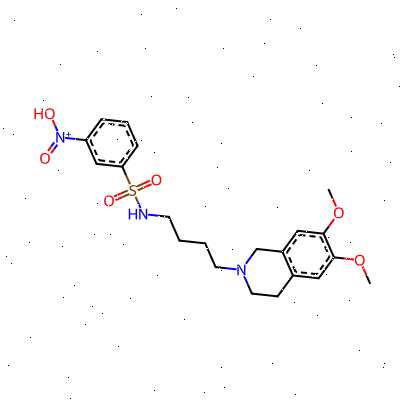 COc1cc2c(cc1OC)CN(CCCCNS(=O)(=O)c1cccc([N+](=O)O)c1)CC2